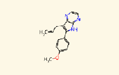 C=CCc1c(-c2ccc(OC)cc2)[nH]c2nccnc12